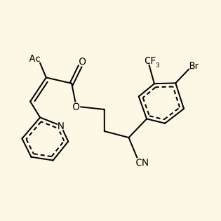 CC(=O)C(=Cc1ccccn1)C(=O)OCCC(C#N)c1ccc(Br)c(C(F)(F)F)c1